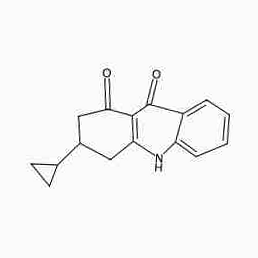 O=C1CC(C2CC2)Cc2[nH]c3ccccc3c(=O)c21